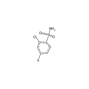 NS(=O)(=O)c1ccc([S])cc1Cl